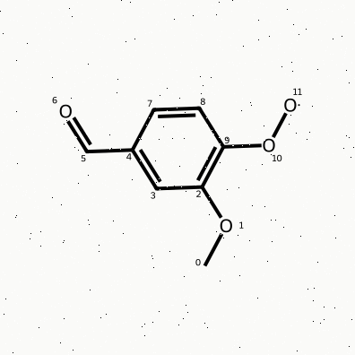 COc1cc(C=O)ccc1O[O]